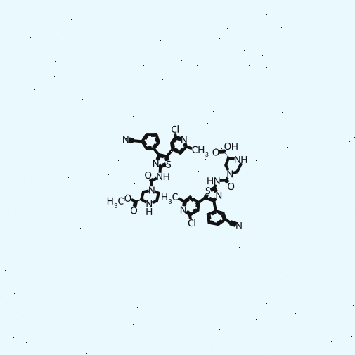 COC(=O)[C@H]1CN(C(=O)Nc2nc(-c3cccc(C#N)c3)c(-c3cc(C)nc(Cl)c3)s2)CCN1.Cc1cc(-c2sc(NC(=O)N3CCN[C@@H](C(=O)O)C3)nc2-c2cccc(C#N)c2)cc(Cl)n1